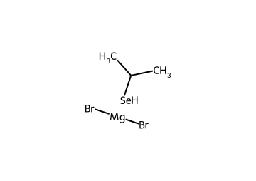 CC(C)[SeH].[Br][Mg][Br]